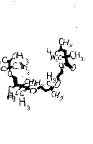 CC(C)CC(C)(C)C(=O)OCCOC(C)(C)CCOC(C)(C)C(C)(C)C(C)COC(C)(C)C(C)C